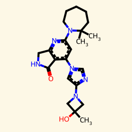 CC1(O)CN(c2cn(-c3cc(N4CCCCCC4(C)C)nc4c3C(=O)NC4)cn2)C1